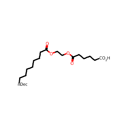 CCCCCCCCCCCCCCCCCC(=O)OCCOC(=O)CCCCC(=O)O